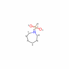 CS(=O)(=O)N1CCCCCC1